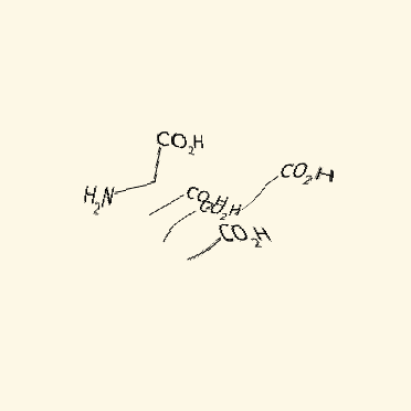 CC(=O)O.CC(=O)O.CC(=O)O.CC(=O)O.NCC(=O)O